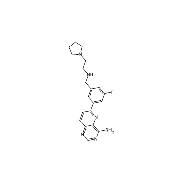 Nc1ncnc2ccc(-c3cc(F)cc(CNCCN4CCCC4)c3)nc12